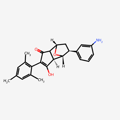 Cc1cc(C)c(C2=C(O)[C@H]3C(C2=O)[C@@H]2C[C@@H](c4cccc(N)c4)[C@H]3O2)c(C)c1